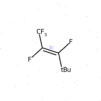 CC(C)(C)/C(F)=C(\F)C(F)(F)F